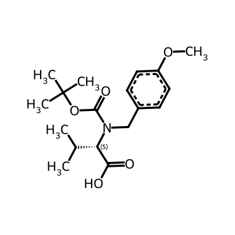 COc1ccc(CN(C(=O)OC(C)(C)C)[C@H](C(=O)O)C(C)C)cc1